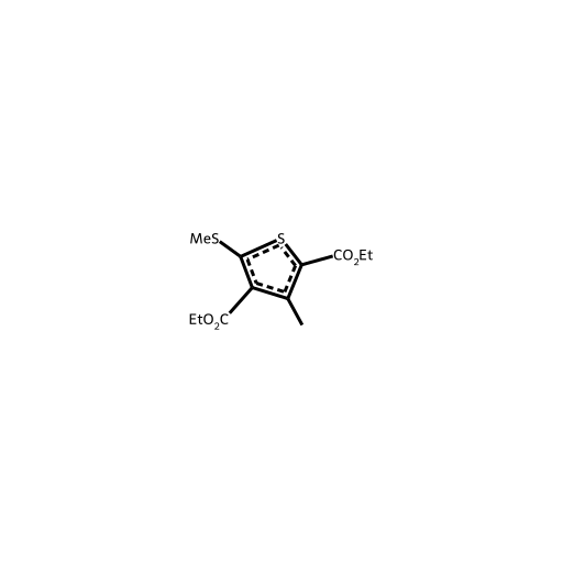 CCOC(=O)c1sc(SC)c(C(=O)OCC)c1C